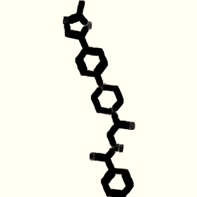 Cc1ncc(-c2ccc(N3CCN(C(=O)CNC(=O)c4ccccc4)CC3)cc2)o1